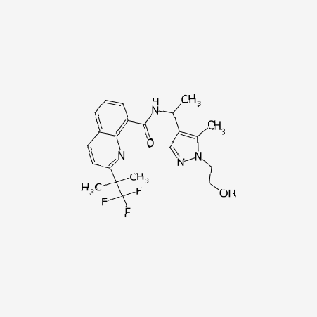 Cc1c(C(C)NC(=O)c2cccc3ccc(C(C)(C)C(F)(F)F)nc23)cnn1CCO